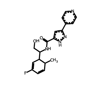 CC1C=CC(F)=CC1C(CO)NC(=O)c1cc(-c2ccncc2)n[nH]1